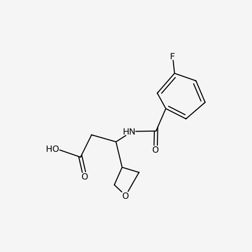 O=C(O)CC(NC(=O)c1cccc(F)c1)C1COC1